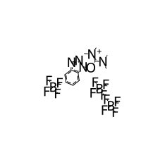 CN(C)C(On1nnc2ccccc21)=[N+](C)C.F[B-](F)(F)F.F[B-](F)(F)F.F[B-](F)(F)F